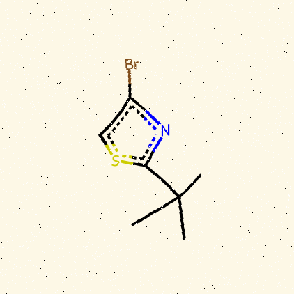 CC(C)(C)c1nc(Br)cs1